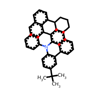 CC(C)(C)c1ccc(N(c2ccccc2)c2ccccc2-c2cccc3cccc(C4CCCCC4)c23)c(-c2ccccc2)c1